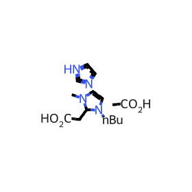 CC(=O)O.CCCCN1C=CN(C)C1CC(=O)O.c1c[nH]cn1